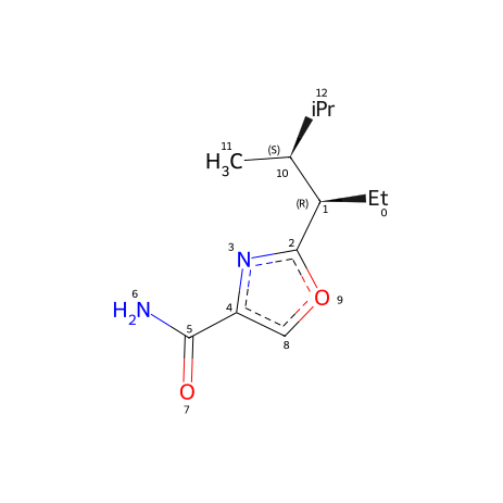 CC[C@@H](c1nc(C(N)=O)co1)[C@@H](C)C(C)C